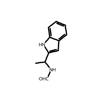 CC(N[C]=O)c1cc2ccccc2[nH]1